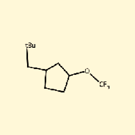 CC(C)(C)CC1CCC(OC(F)(F)F)C1